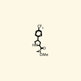 CON(C)C(=O)C1CC(c2ccc(C(F)(F)F)cc2)CN1